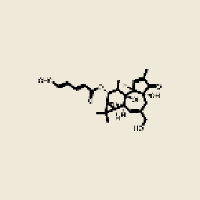 CC(=O)O[C@@]12[C@H](OC(=O)/C=C/C=C/C=O)[C@@H](C)[C@@]3(O)[C@@H](C=C(CO)C[C@]4(O)C(=O)C(C)=C[C@@H]34)[C@H]1C2(C)C